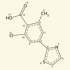 Cc1cc(-c2nccs2)cc(Cl)c1C(=O)O